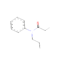 CCOC(=O)CCN(C(=O)CC(=O)O)c1ccccc1